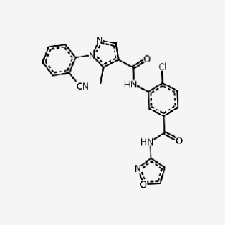 Cc1c(C(=O)Nc2cc(C(=O)Nc3ccon3)ccc2Cl)cnn1-c1ccccc1C#N